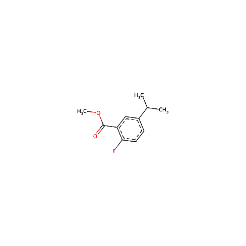 COC(=O)c1cc(C(C)C)ccc1I